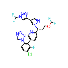 Fc1c(Cl)ccc(-n2cnnn2)c1-c1ccc([C@@H](CCOC(F)F)n2cc(-c3cn(C(F)F)nn3)cn2)nc1